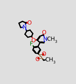 CCS(=O)(=O)c1ccc(F)c(-c2cn(C)c(=O)cc2OC2CCC(N3CCCC3=O)CC2)c1